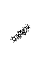 FCc1c(N2Cc3ccccc3C2)ccn2c(CC3CC3(F)F)nnc12